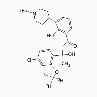 [2H]C([2H])([2H])Oc1cc(Cl)ccc1C(C)(O)CC(=O)c1cccc(C2CCN(C(C)(C)C)CC2)c1O